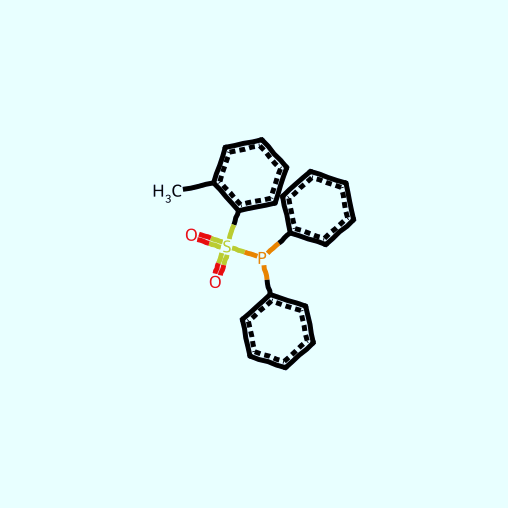 Cc1ccccc1S(=O)(=O)P(c1ccccc1)c1ccccc1